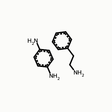 NCCc1ccccc1.Nc1ccc(N)cc1